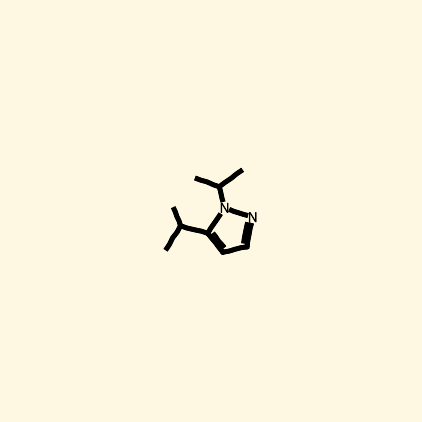 CC(C)c1ccnn1C(C)C